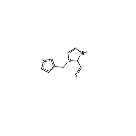 S=CC1NC=CN1Cc1ccsc1